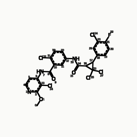 COc1nccc(NC(=O)c2cc(NC(=O)C3C(c4ccc(F)c(Cl)c4)C3(Cl)Cl)ccc2Cl)c1Cl